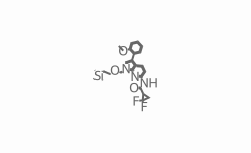 COc1ccccc1-c1cn(COCC[Si](C)(C)C)c2nc(NC(=O)C3CC3(F)F)ccc12